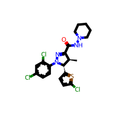 C[C@@H]1C(C(=O)NN2CCCCC2)=NN(c2ccc(Cl)cc2Cl)[C@H]1c1ccc(Cl)s1